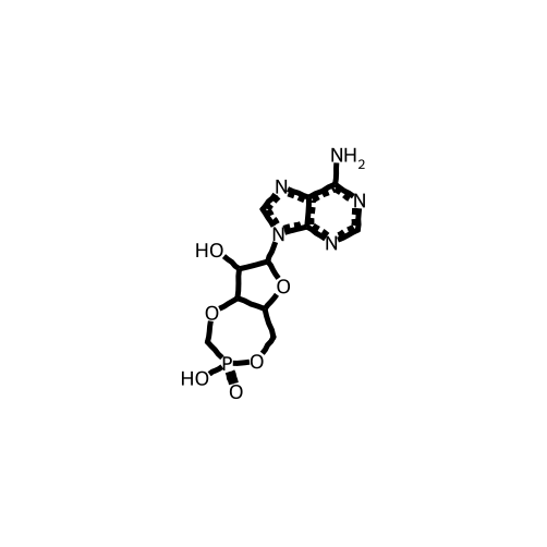 Nc1ncnc2c1ncn2C1OC2COP(=O)(O)COC2C1O